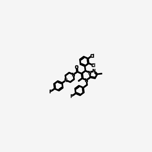 CC1=C(C(=O)N2CCN(c3ccc(F)cc3)CC2)C(c2cccc(Cl)c2Cl)n2nc(C)cc2N1Cc1ccc(F)cc1